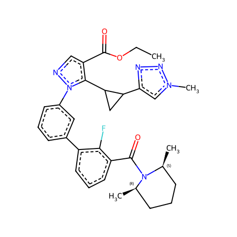 CCOC(=O)c1cnn(-c2cccc(-c3cccc(C(=O)N4[C@H](C)CCC[C@@H]4C)c3F)c2)c1C1CC1c1cn(C)nn1